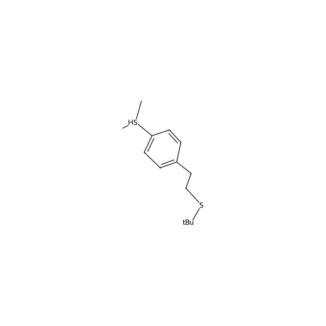 C[SH](C)c1ccc(CCSC(C)(C)C)cc1